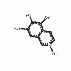 CSc1cc2c[n+](C)ccc2c(O)c1O